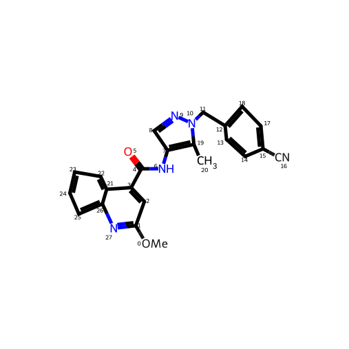 COc1cc(C(=O)Nc2cnn(Cc3ccc(C#N)cc3)c2C)c2ccccc2n1